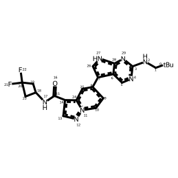 CC(C)(C)CNc1ncc2c(-c3ccn4ncc(C(=O)NC5CC(F)(F)C5)c4c3)c[nH]c2n1